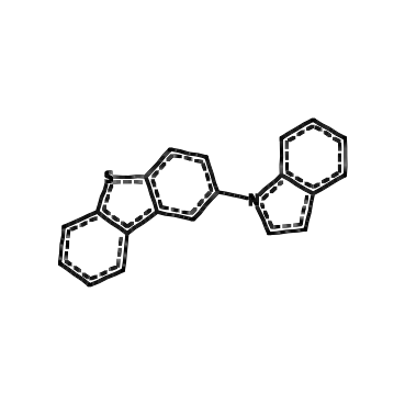 c1ccc2c(c1)ccn2-c1ccc2sc3ccccc3c2c1